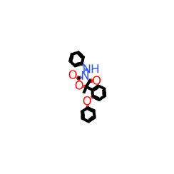 CC1(c2ccccc2Oc2ccccc2)OC(=O)N(Nc2ccccc2)C1=O